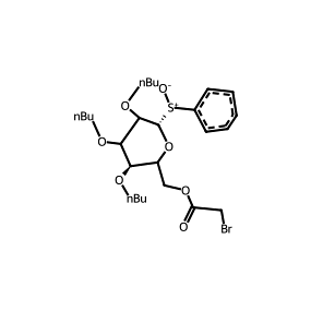 CCCCOC1C(OCCCC)[C@H]([S+]([O-])c2ccccc2)OC(COC(=O)CBr)[C@H]1OCCCC